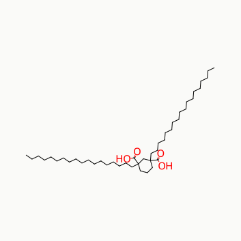 CCCCCCCCCCCCCCCCCCC1(C(=O)O)CCCC(CCCCCCCCCCCCCCCCCC)(C(=O)O)C1